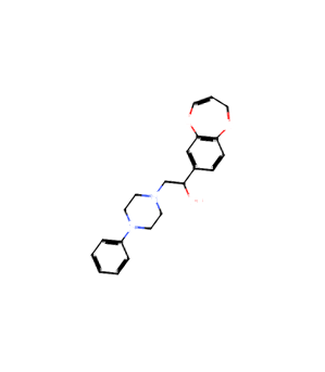 OC(CN1CCN(c2ccccc2)CC1)c1ccc2c(c1)OC=CCO2